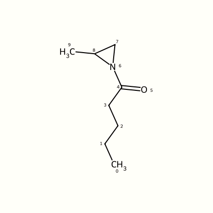 CCCCC(=O)N1CC1C